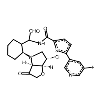 O=CC(NC(=O)c1ccc(-c2cncc(F)c2)s1)C1CCCC[C@@H]1N1C[C@H](Cl)[C@H]2OCC(=O)[C@H]21